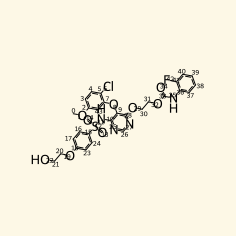 COc1ccc(Cl)c(Oc2c(NS(=O)(=O)c3ccc(OCCO)cc3)ncnc2OCCOC(=O)Nc2ccccc2F)c1